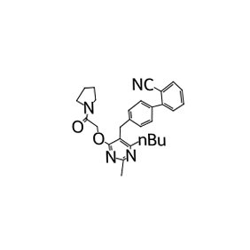 CCCCc1nc(C)nc(OCC(=O)N2CCCC2)c1Cc1ccc(-c2ccccc2C#N)cc1